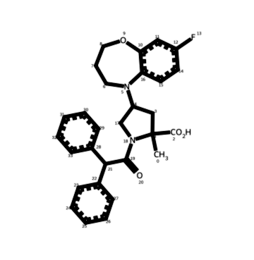 CC1(C(=O)O)CC(N2CCCOc3cc(F)ccc32)CN1C(=O)C(c1ccccc1)c1ccccc1